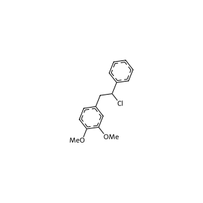 COc1ccc(CC(Cl)c2ccccc2)cc1OC